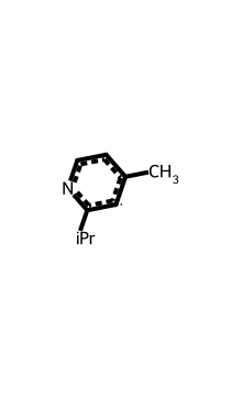 Cc1[c]c(C(C)C)ncc1